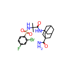 CC(C)(NS(=O)(=O)c1ccc(F)cc1Br)C(=O)NC12CC3CC(C1)CC(C(N)=O)(C3)C2